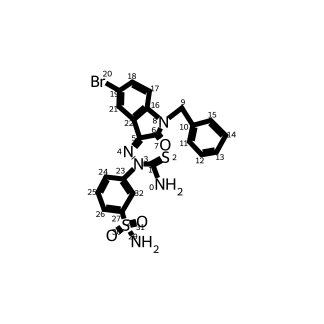 NC(=S)N(/N=C1\C(=O)N(Cc2ccccc2)c2ccc(Br)cc21)c1cccc(S(N)(=O)=O)c1